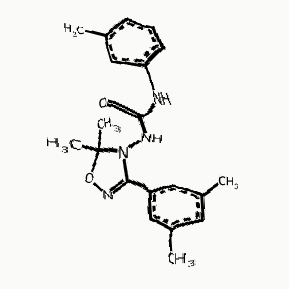 Cc1cccc(NC(=O)NN2C(c3cc(C)cc(C)c3)=NOC2(C)C)c1